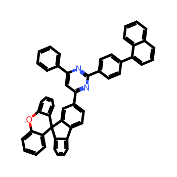 c1ccc(-c2cc(-c3ccc4c(c3)C3(c5ccccc5Oc5ccccc53)c3ccccc3-4)nc(-c3ccc(-c4cccc5ccccc45)cc3)n2)cc1